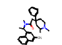 CC1CC(CC(=O)N(C)C(C)c2cc(C#N)cc3ccccc23)(c2ccccc2)CCN1C